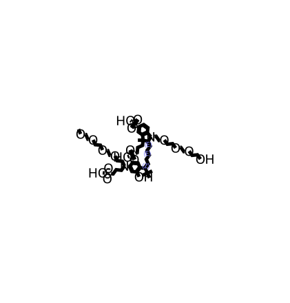 COCCOCCOCCOCCN(CCCS(=O)(=O)O)c1ccc(/C(=C\C/C=C/C=C2/N(CCOCCOCCOCCO)c3ccc(S(=O)(=O)O)cc3C2(C)CCCS(=O)(=O)O)C(C)(C)C)c(O)c1